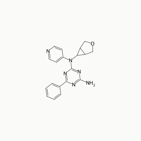 Nc1nc(-c2ccccc2)nc(N(c2ccncc2)C2C3COCC32)n1